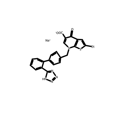 CCc1cc2c(=O)c(C(=O)[O-])cn(Cc3ccc(-c4ccccc4-c4nnn[nH]4)cc3)c2s1.[Na+]